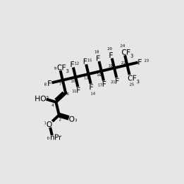 CCCOC(=O)C(O)=CC(F)(C(F)(F)F)C(F)(F)C(F)(F)C(F)(F)C(F)(F)C(F)(C(F)(F)F)C(F)(F)F